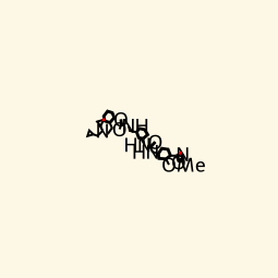 COc1cc(NC(=O)Nc2cccc(CNC(=O)OC(CN(CC3CC3)C3CC3)c3ccccc3)c2)ccc1-c1cnco1